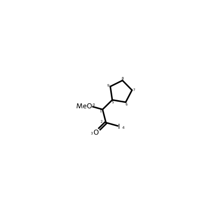 COC(C(=O)I)C1CCCC1